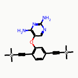 C[Si](C)(C)C#Cc1ccc(C#C[Si](C)(C)C)c(Oc2cnc(N)nc2N)c1